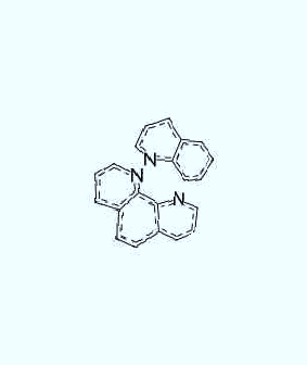 c1ccc2ncccc2c1.c1cnc2c(c1)ccc1cccnc12